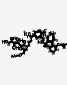 COCCCN(CCCC(C)c1ccc(C)c(CNC2(c3cnccc3-c3ccccc3OC3CC3)CC2)c1)C(=O)[C@@H](O)[C@@H](O)[C@H](O)[C@@H](O)CO